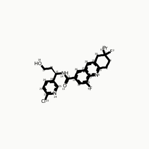 CC(C)C1(F)CCc2nc3c(F)cc(C(=O)N[C@H](CCO)c4ccc(Cl)nc4)cc3cc2C1